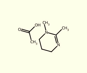 CC(=O)O.CC1=NCCCN1C